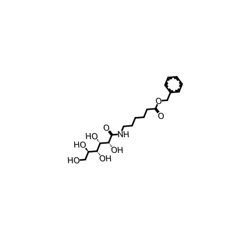 O=C(CCCCCNC(=O)[C@H](O)[C@@H](O)[C@H](O)[C@H](O)CO)OCc1ccccc1